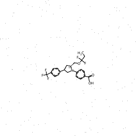 CCC(F)(F)OC[C@@H]1CC(c2ccc(C(F)(F)F)cc2)CN1c1ccc(C(=O)O)cc1